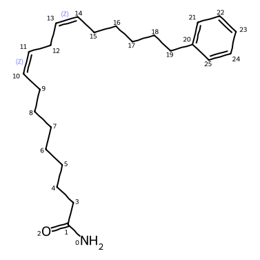 NC(=O)CCCCCCC/C=C\C/C=C\CCCCCc1ccccc1